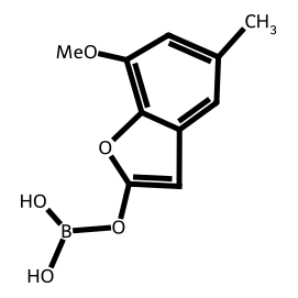 COc1cc(C)cc2cc(OB(O)O)oc12